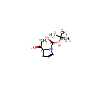 CC(=O)C1CC=CN1C(=O)OC(C)(C)C